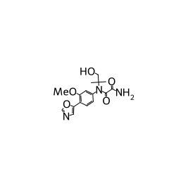 COc1cc(N(C(=O)C(N)=O)C(C)(C)CO)ccc1-c1cnco1